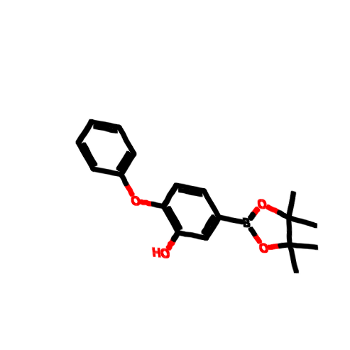 CC1(C)OB(c2ccc(Oc3ccccc3)c(O)c2)OC1(C)C